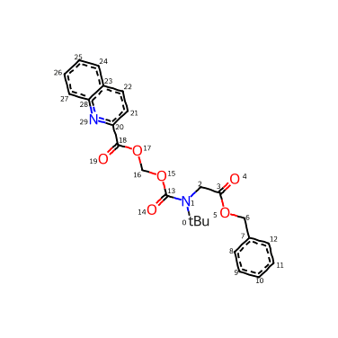 CC(C)(C)N(CC(=O)OCc1ccccc1)C(=O)OCOC(=O)c1ccc2ccccc2n1